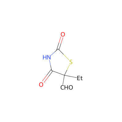 CCC1(C=O)SC(=O)NC1=O